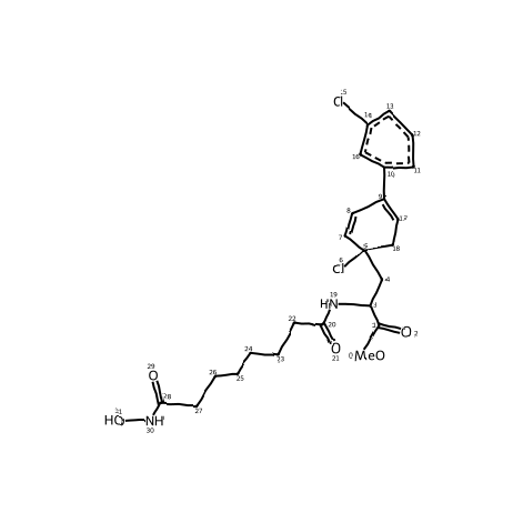 COC(=O)C(CC1(Cl)C=CC(c2cccc(Cl)c2)=CC1)NC(=O)CCCCCCC(=O)NO